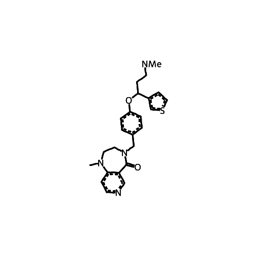 CNCCC(Oc1ccc(CN2CCN(C)c3ccncc3C2=O)cc1)c1ccsc1